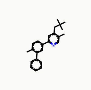 Cc1cnc(-c2ccc(C)c(-c3ccccc3)c2)cc1CC(C)(C)C